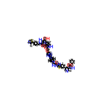 Cc1ncc(-c2ccc3nc(NC(=O)CN4C[C@@H]5CN(c6ncc(OCC(=O)N[C@H](C(=O)N7C[C@H](O)C[C@H]7C(=O)NCc7ccc(-c8scnc8C)cc7)C(C)(C)C)cn6)C[C@@H]5C4)sc3c2)cc1NC(=O)OC1CCCCC1